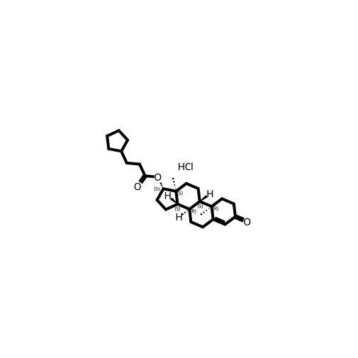 C[C@]12CC[C@H]3[C@@H](CCC4=CC(=O)CC[C@@]43C)[C@@H]1CC[C@@H]2OC(=O)CCC1CCCC1.Cl